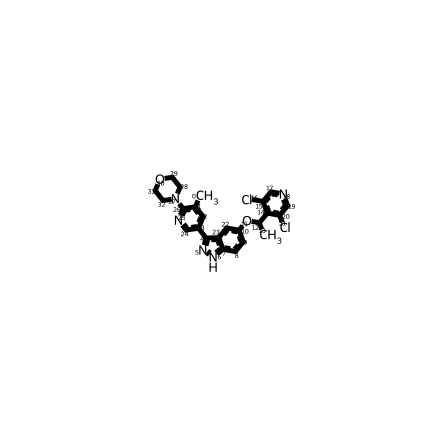 Cc1cc(-c2n[nH]c3ccc(OC(C)c4c(Cl)cncc4Cl)cc23)cnc1N1CCOCC1